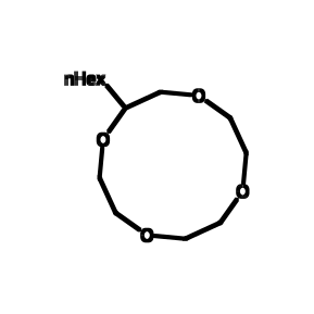 CCCCCCC1COCCOCCOCCO1